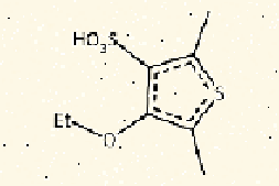 CCOc1c(C)sc(C)c1S(=O)(=O)O